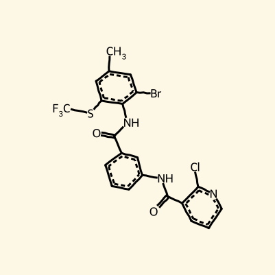 Cc1cc(Br)c(NC(=O)c2cccc(NC(=O)c3cccnc3Cl)c2)c(SC(F)(F)F)c1